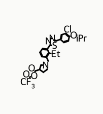 CCc1c(CN2CCC(C(=O)OC(=O)C(F)(F)F)C2)cccc1-c1nnc(-c2ccc(OC(C)C)c(Cl)c2)s1